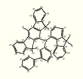 Cc1c2c(c(N(c3cccc(-c4ccccc4)c3)c3cccc4c3-c3ccccc3C4(C)C)c3c1-c1ccccc1C3(C)C)C(C)(C)c1ccccc1-2